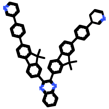 CC1(C)c2cc(-c3ccc(-c4cccnc4)cc3)ccc2-c2ccc(-c3nc4ccccc4nc3-c3ccc4c(c3)C(C)(C)c3cc(-c5ccc(C6C=NC=CC6)cc5)ccc3-4)cc21